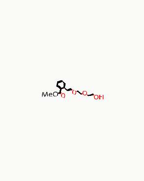 COC(=O)c1ccccc1C=COCCOCCO